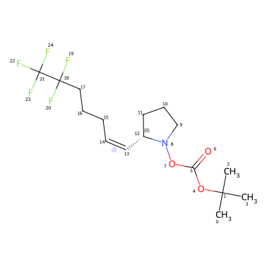 CC(C)(C)OC(=O)ON1CCC[C@H]1/C=C\CCCC(F)(F)C(F)(F)F